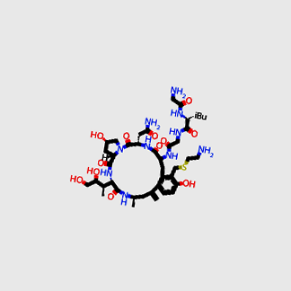 C=C1C[C@@H](C)NC(=O)[C@H]([C@@H](C)C(O)CO)NC(=O)[C@@H]2C[C@@H](O)CN2C(=O)[C@H](CC(N)=O)NC(=O)C(NC(=O)CNC(=O)[C@@H](NC(=O)CN)[C@@H](C)CC)Cc2c1ccc(O)c2CSCCN